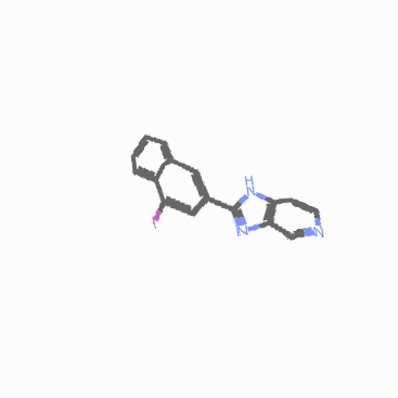 Ic1cc(-c2nc3cnccc3[nH]2)cc2ccccc12